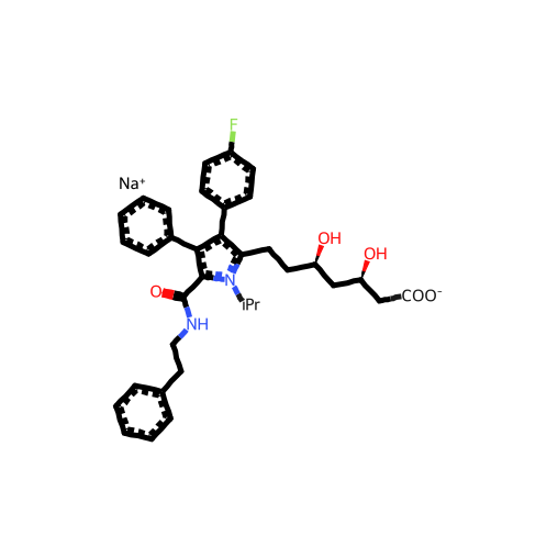 CC(C)n1c(CC[C@@H](O)C[C@@H](O)CC(=O)[O-])c(-c2ccc(F)cc2)c(-c2ccccc2)c1C(=O)NCCc1ccccc1.[Na+]